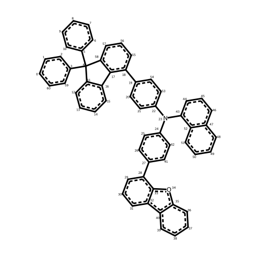 c1ccc(C2(c3ccccc3)c3ccccc3-c3c(-c4ccc(N(c5ccc(-c6cccc7c6oc6ccccc67)cc5)c5cccc6ccccc56)cc4)cccc32)cc1